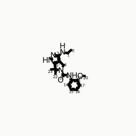 CCNc1n[nH]c2c1CN(C(=O)Nc1ccccc1OC)C2(C)C